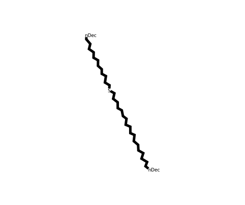 CCCCCCCCCCCCCCCCCCCCCCCCCCCCSCCCCCCCCCCCCCCCCCCCCCC